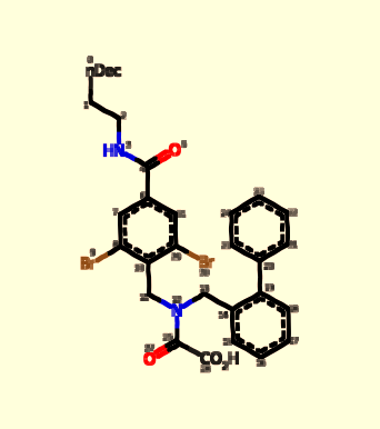 CCCCCCCCCCCCNC(=O)c1cc(Br)c(CN(Cc2ccccc2-c2ccccc2)C(=O)C(=O)O)c(Br)c1